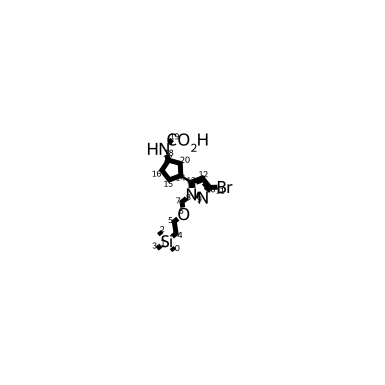 C[Si](C)(C)CCOCn1nc(Br)cc1[C@H]1CCC(NC(=O)O)C1